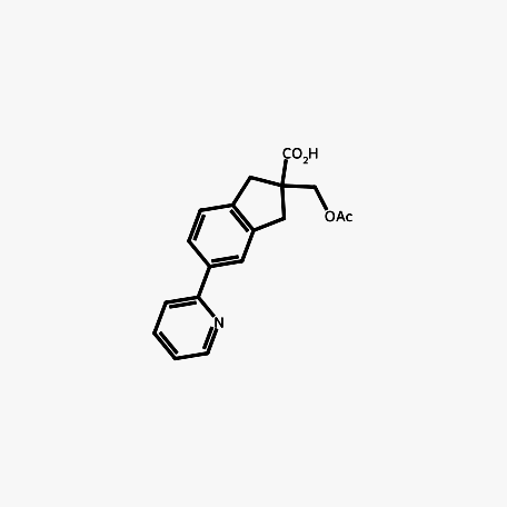 CC(=O)OCC1(C(=O)O)Cc2ccc(-c3ccccn3)cc2C1